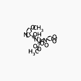 COC(=O)C[C@H]1CN(C[C@@H](O)c2ccnc3ccc(OC)cc23)CC[C@]12CN(c1ccc3c(c1)OCCO3)C(=O)O2